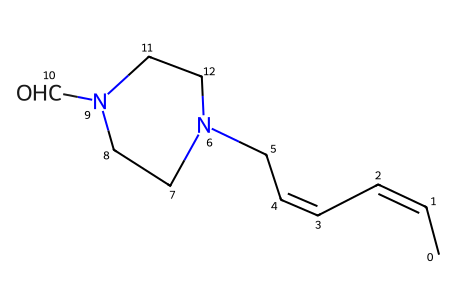 C/C=C\C=C/CN1CCN(C=O)CC1